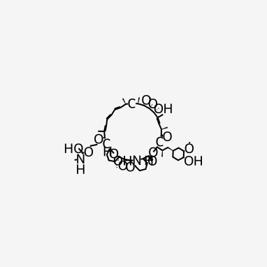 CNC(O)OCCOC1C[C@@H]2CC[C@@H](C)[C@@](O)(O2)C(=O)C(=O)N2CCCC[C@H]2C(=O)O[C@H]([C@H](C)C[C@@H]2CC[C@@H](O)[C@H](OC)C2)CC(=O)[C@H](C)/C=C(\C)[C@@H](O)[C@@H](OC)C(=O)[C@H](C)C[C@H](C)/C=C/C=C/C=C/1C